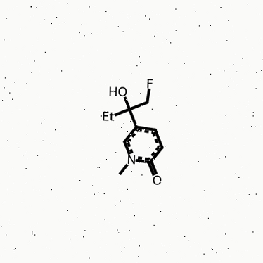 C[CH]C(O)(CF)c1ccc(=O)n(C)c1